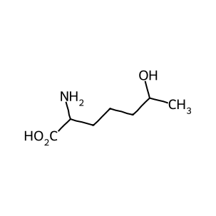 CC(O)CCCC(N)C(=O)O